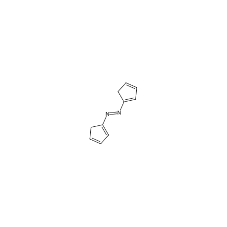 C1=CCC(N=NC2=CC=CC2)=C1